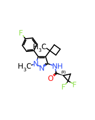 Cn1nc(NC(=O)[C@H]2CC2(F)F)c(C2(C)CCC2)c1-c1ccc(F)cc1